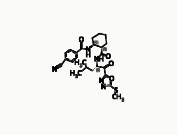 CSc1nnc(C(=O)[C@H](CC(C)C)NC(=O)[C@@H]2CCCC[C@@H]2NC(=O)c2ccc(C#N)cc2)o1